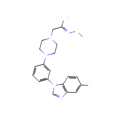 COC(CN1CCN(c2cccc(-n3cnc4cc(C(C)=O)ccc43)c2)CC1)=NOC(C)C